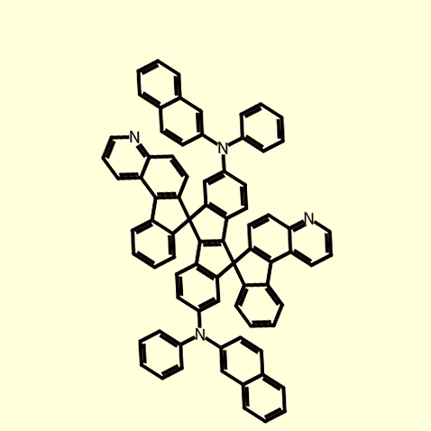 c1ccc(N(c2ccc3c(c2)C2(C4=C3C3(c5cc(N(c6ccccc6)c6ccc7ccccc7c6)ccc54)c4ccccc4-c4c3ccc3ncccc43)c3ccccc3-c3c2ccc2ncccc32)c2ccc3ccccc3c2)cc1